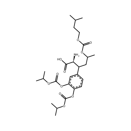 CC(C)CCOC(=O)OC(C)CC(c1ccc(OC(=O)OC(C)C)c(OC(=O)OC(C)C)c1)[C@H](N)C(=O)O